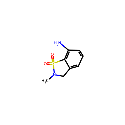 CN1Cc2cccc(N)c2S1(=O)=O